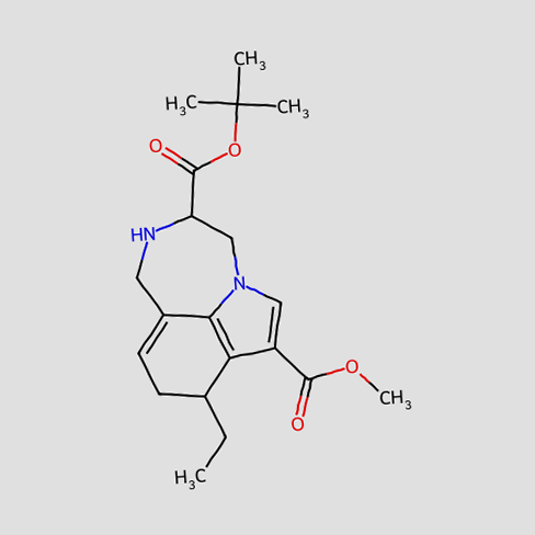 CCC1CC=C2CNC(C(=O)OC(C)(C)C)Cn3cc(C(=O)OC)c1c32